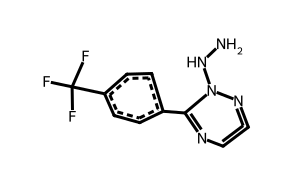 NNN1N=C=CN=C1c1ccc(C(F)(F)F)cc1